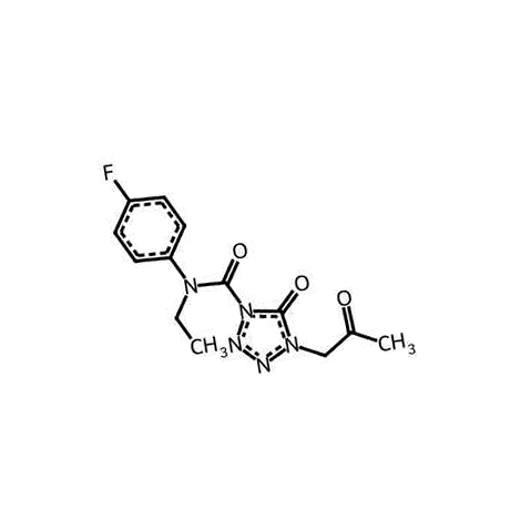 CCN(C(=O)n1nnn(CC(C)=O)c1=O)c1ccc(F)cc1